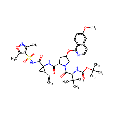 C=C[C@@H]1C[C@]1(NC(=O)[C@@H]1C[C@@H](Oc2nccc3cc(OC)ccc23)CN1C(=O)[C@@H](NC(=O)OC(C)(C)C)C(C)(C)C)C(=O)NS(=O)(=O)c1c(C)noc1C